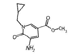 COC(=O)c1cc(N)c(=O)n(CC2CC2)c1